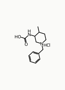 CC1CCN(Cc2ccccc2)CC1NC(=O)O.Cl